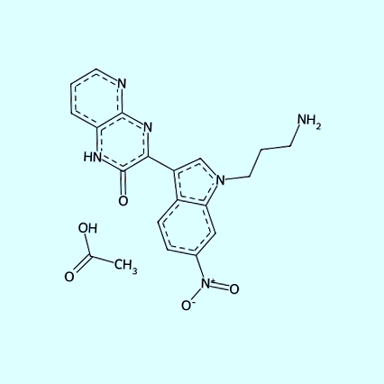 CC(=O)O.NCCCn1cc(-c2nc3ncccc3[nH]c2=O)c2ccc([N+](=O)[O-])cc21